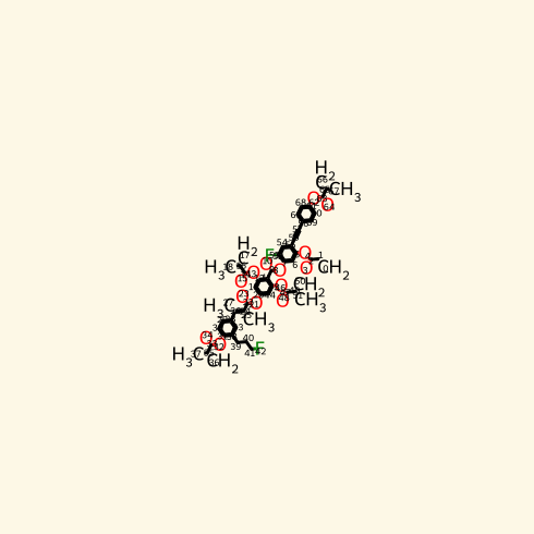 C=CC(=O)Oc1cc(OC(=O)c2c(OC(=O)C(=C)C)cc(OC(=O)/C(C)=C(\C)c3ccc(OC(=O)C(=C)C)c(CCCF)c3)cc2OC(=O)C(=C)C)c(F)cc1C#Cc1ccc(OC(=O)C(=C)C)cc1